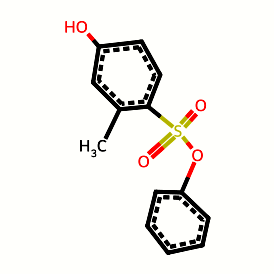 Cc1cc(O)ccc1S(=O)(=O)Oc1ccccc1